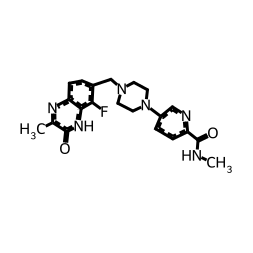 CNC(=O)c1ccc(N2CCN(Cc3ccc4nc(C)c(=O)[nH]c4c3F)CC2)cn1